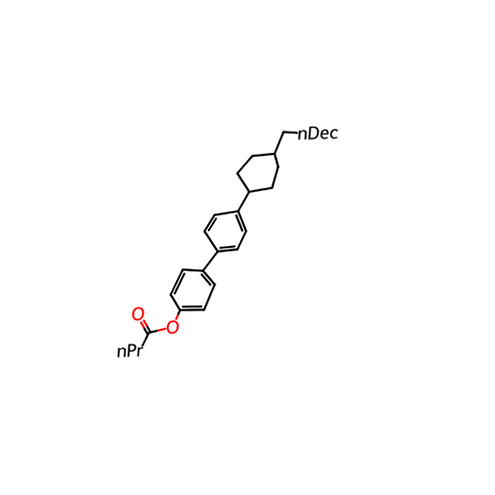 CCCCCCCCCCCC1CCC(c2ccc(-c3ccc(OC(=O)CCC)cc3)cc2)CC1